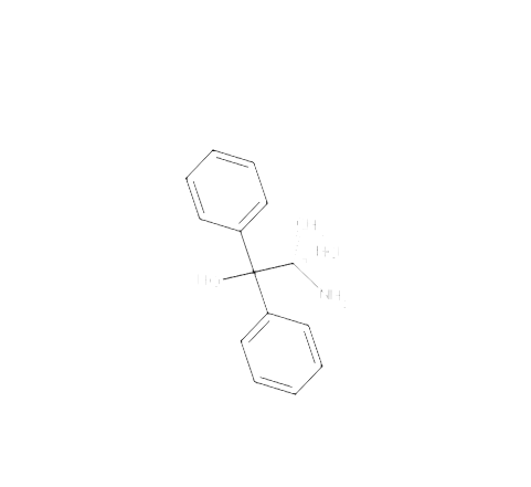 C[C@H](N)C(O)(c1ccccc1)c1ccccc1.Cl